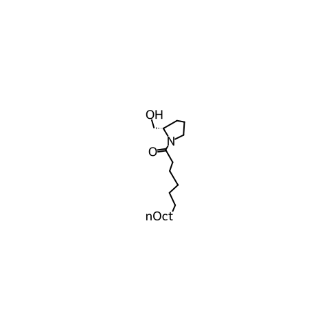 CCCCCCCCCCCCCC(=O)N1CCC[C@H]1CO